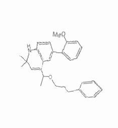 COc1ccccc1-c1ccc2c(c1)C(C(C)OCCCc1ccccc1)=CC(C)(C)N2